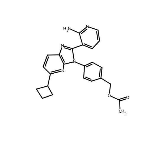 CC(=O)OCc1ccc(-n2c(-c3cccnc3N)nc3ccc(C4CCC4)nc32)cc1